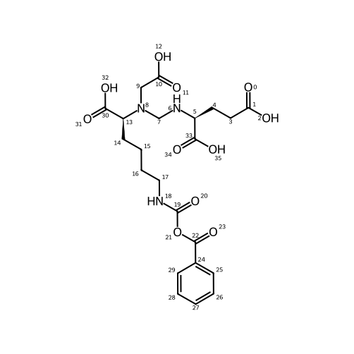 O=C(O)CC[C@H](NCN(CC(=O)O)[C@@H](CCCCNC(=O)OC(=O)c1ccccc1)C(=O)O)C(=O)O